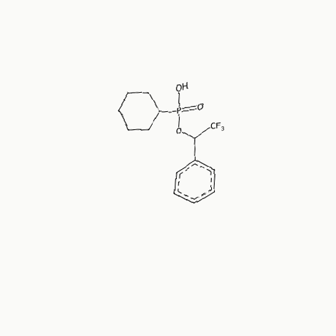 O=P(O)(OC(c1ccccc1)C(F)(F)F)C1CCCCC1